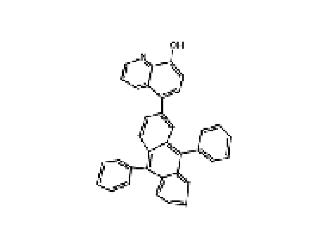 Oc1ccc(-c2ccc3c(-c4ccccc4)c4ccccc4c(-c4ccccc4)c3c2)c2cccnc12